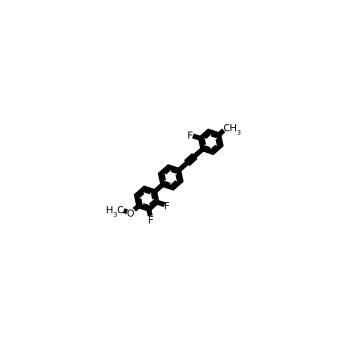 COc1ccc(-c2ccc(C#Cc3ccc(C)cc3F)cc2)c(F)c1F